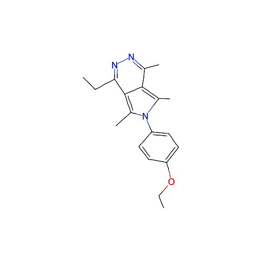 CCOc1ccc(-n2c(C)c3c(C)nnc(CC)c3c2C)cc1